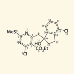 CCOC(=O)c1c(Cl)nc(SC)nc1CC1(O)CCc2c(Cl)cccc21